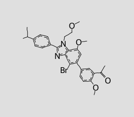 COCCn1c(-c2ccc(C(C)C)cc2)nc2c(Br)c(-c3ccc(OC)c(C(C)=O)c3)cc(OC)c21